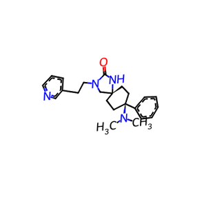 CN(C)[C@]1(c2ccccc2)CC[C@@]2(CC1)CN(CCc1cccnc1)C(=O)N2